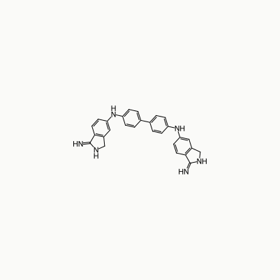 N=C1NCc2cc(Nc3ccc(-c4ccc(Nc5ccc6c(c5)CNC6=N)cc4)cc3)ccc21